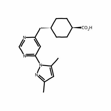 Cc1cc(C)n(-c2cc(C[C@H]3CC[C@H](C(=O)O)CC3)ncn2)n1